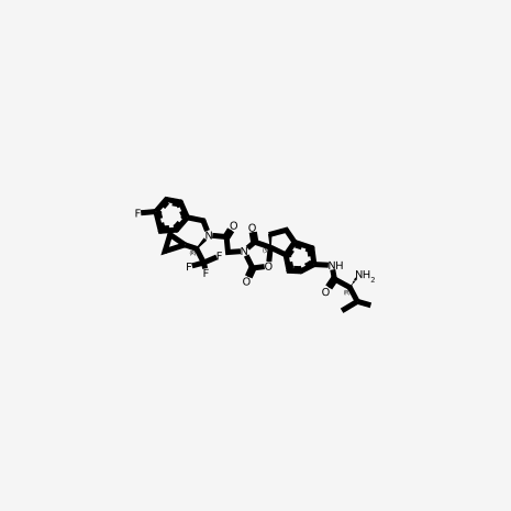 CC(C)[C@@H](N)C(=O)Nc1ccc2c(c1)CC[C@]21OC(=O)N(CC(=O)N(Cc2ccc(F)cc2)[C@H](C2CC2)C(F)(F)F)C1=O